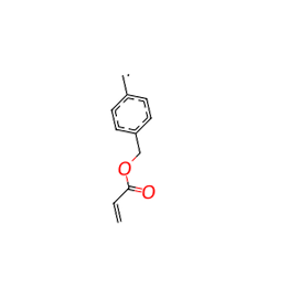 [CH2]c1ccc(COC(=O)C=C)cc1